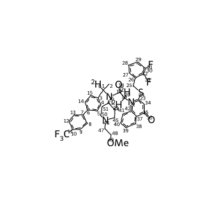 [2H]C(C)(c1ccc(-c2ccc(C(F)(F)F)cc2)cc1)N(C(=O)C([2H])([2H])n1c(SCc2cccc(F)c2F)cc(=O)c2ccccc21)C1CCN(CCOC)CC1